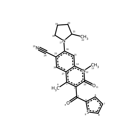 Cc1c(C(=O)c2cccs2)c(=O)n(C)c2cc(N3CCCC3C)c(C#N)cc12